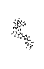 CC(C)c1cc(F)ccc1N1/C(=N/C(=O)NC2=C(c3ccc(-c4ncn(-c5ccc(OC(F)(F)F)cc5)n4)cc3)CCC2)SCCC1C